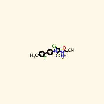 CCOC(=O)c1c(NC(=O)CC#N)cc(Cl)n1-c1ccc(-c2ccc(C)cc2F)cc1